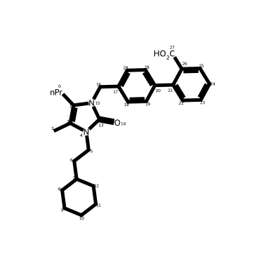 CCCc1c(C)n(CCC2CCCCC2)c(=O)n1Cc1ccc(-c2ccccc2C(=O)O)cc1